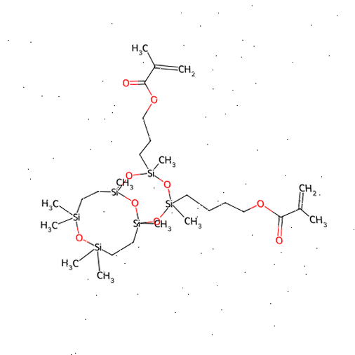 C=C(C)C(=O)OCCCC[Si]1(C)O[Si](C)(CCCOC(=O)C(=C)C)O[Si]2(C)CC[Si](C)(C)O[Si](C)(C)CC[Si](C)(O1)O2